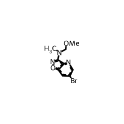 COCN(C)c1noc2cc(Br)cnc12